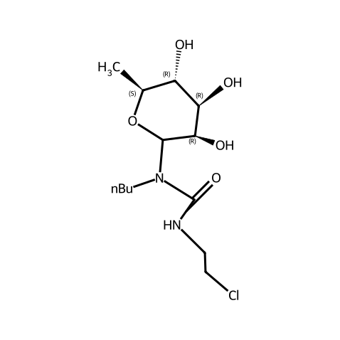 CCCCN(C(=O)NCCCl)C1O[C@@H](C)[C@H](O)[C@@H](O)[C@H]1O